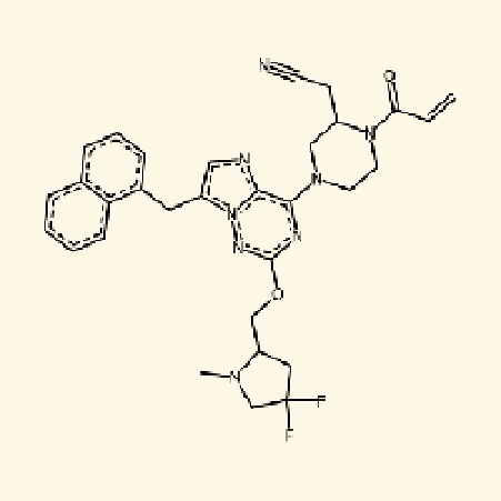 C=CC(=O)N1CCN(c2nc(OCC3CC(F)(F)CN3C)nn3c(Cc4cccc5ccccc45)cnc23)CC1CC#N